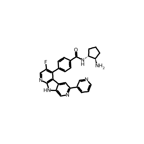 N[C@@H]1CCC[C@H]1NC(=O)c1ccc(-c2c(F)cnc3[nH]c4cnc(-c5cccnc5)cc4c23)cc1